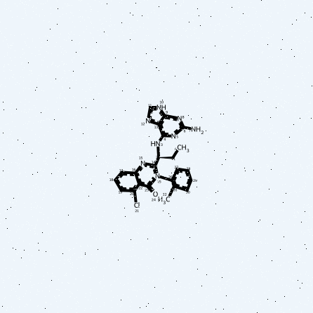 CC[C@H](Nc1nc(N)nc2[nH]cnc12)c1nc2cccc(Cl)c2c(=O)n1-c1ccccc1C